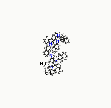 C=C1c2cc3c(cc(-c4ccc5c6c(ccc5c4)N(c4ccc5ccccc5c4)c4c5c(cc7ccn(-c8ccccc8)c47)-c4cccc7c8ccccc8n(c47)B56)n3-c3ccccc3)c3c2B(c2c(ccc4ccccc24)N3c2ccc3ccccc3c2)n2c1c(/C=C\C)c1ccccc12